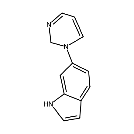 C1=CN(c2ccc3cc[nH]c3c2)CN=C1